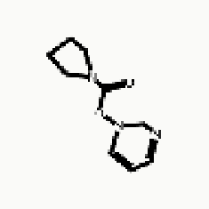 O=C(ON1C=CC=NC1)N1CCCC1